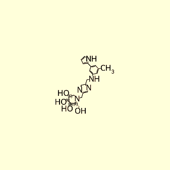 Cc1cc(NCc2cnc(CN3C[C@H](O)[C@@H](O)[C@H](O)[C@H]3CO)cn2)cc(-c2ccc[nH]2)c1